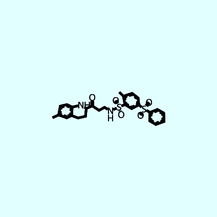 Cc1ccc2c(c1)CCC(C(=O)CCNS(=O)(=O)c1cc(S(=O)(=O)c3ccccc3)ccc1C)N2